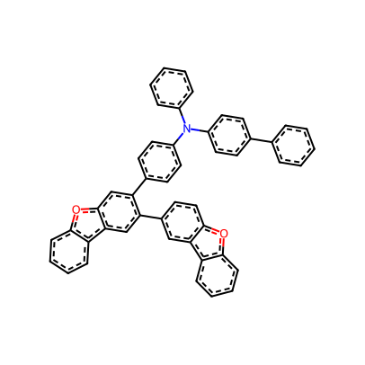 c1ccc(-c2ccc(N(c3ccccc3)c3ccc(-c4cc5oc6ccccc6c5cc4-c4ccc5oc6ccccc6c5c4)cc3)cc2)cc1